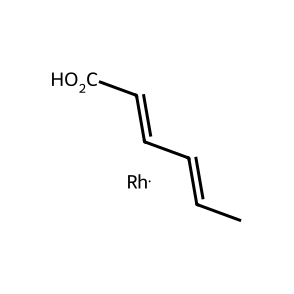 C/C=C/C=C/C(=O)O.[Rh]